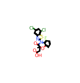 CC1(CC(=O)O)Oc2cccc(F)c2N(c2nc3cc(Cl)cc(Cl)c3s2)C1=O